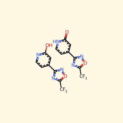 O=c1cc(-c2noc(C(F)(F)F)n2)cc[nH]1.Oc1cc(-c2noc(C(F)(F)F)n2)ccn1